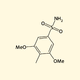 COc1cc(S(N)(=O)=O)cc(OC)c1C